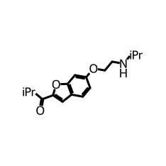 CC(C)NCCOc1ccc2cc(C(=O)C(C)C)oc2c1